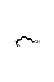 CC/C=C\C/C=C\C=C\CO